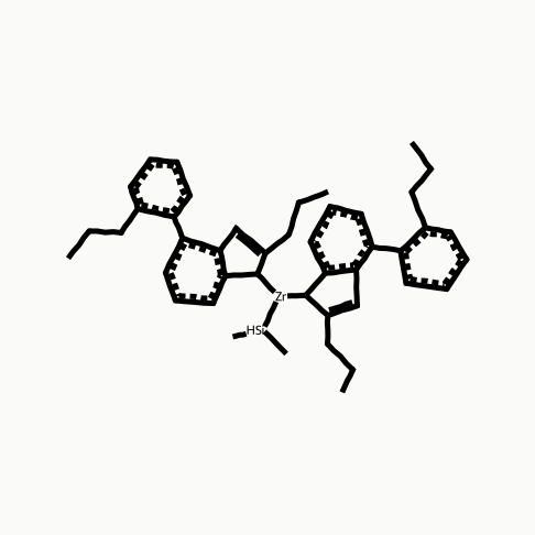 CCCC1=Cc2c(-c3ccccc3CCC)cccc2[CH]1[Zr]([CH]1C(CCC)=Cc2c(-c3ccccc3CCC)cccc21)[SiH](C)C